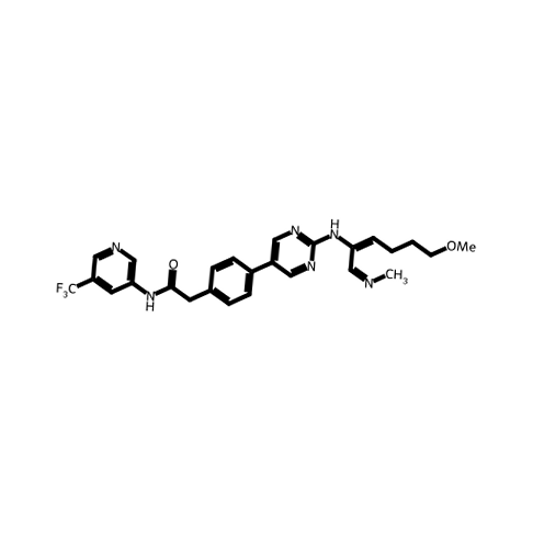 C/N=C\C(=C/CCCOC)Nc1ncc(-c2ccc(CC(=O)Nc3cncc(C(F)(F)F)c3)cc2)cn1